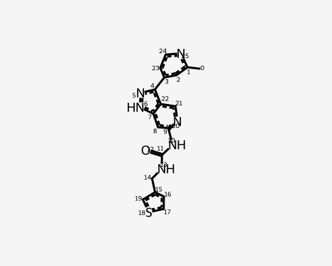 Cc1cc(-c2n[nH]c3cc(NC(=O)NCc4ccsc4)ncc23)ccn1